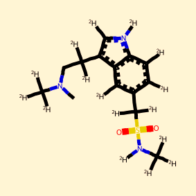 [2H]c1c(C([2H])([2H])S(=O)(=O)N([2H])C([2H])([2H])[2H])c([2H])c2c(C([2H])([2H])CN(C)C([2H])([2H])[2H])c([2H])n([2H])c2c1[2H]